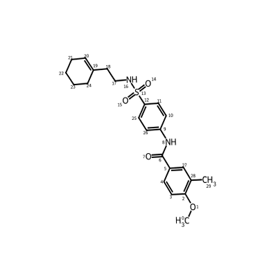 COc1ccc(C(=O)Nc2ccc(S(=O)(=O)NCCC3=CCCCC3)cc2)cc1C